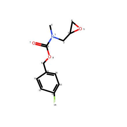 CN(CC1CO1)C(=O)OCc1ccc(F)cc1